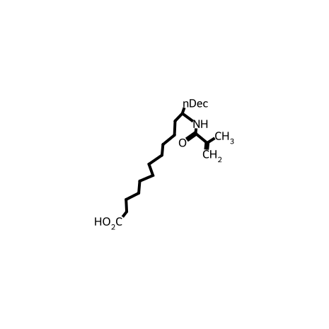 C=C(C)C(=O)NC(CCCCCCCCCC)CCCCCCCCCCC(=O)O